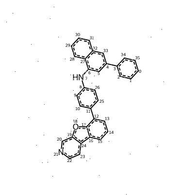 c1ccc(-c2cc(Nc3ccc(-c4cccc5c4oc4cnccc45)cc3)c3ccccc3c2)cc1